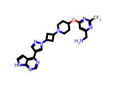 NCc1cc(OC2CCN(C3CC(n4cc(-c5ncnc6[nH]ccc56)cn4)C3)CC2)nc(C(F)(F)F)n1